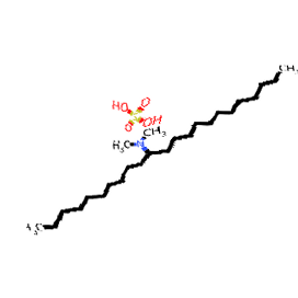 CCCCCCCCCCCCC(CCCCCCCCCC)N(C)C.O=S(=O)(O)O